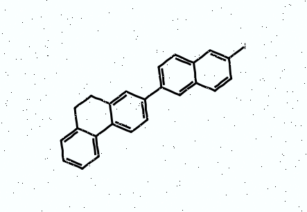 Ic1ccc2cc(-c3ccc4c(c3)CCc3ccccc3-4)ccc2c1